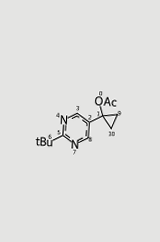 CC(=O)OC1(c2cnc(C(C)(C)C)nc2)CC1